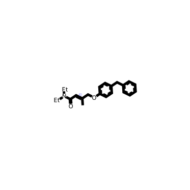 CCN(CC)C(=O)/C=C(\C)COc1ccc(Cc2ccccc2)cc1